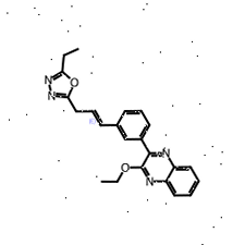 CCOc1nc2ccccc2nc1-c1cccc(/C=C/Cc2nnc(CC)o2)c1